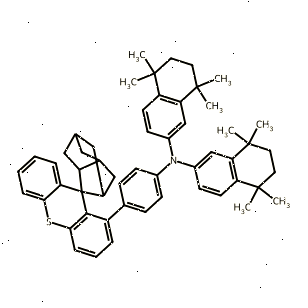 CC1(C)CCC(C)(C)c2cc(N(c3ccc(-c4cccc5c4C4(c6ccccc6S5)C5CC6CC(C5)C4C6)cc3)c3ccc4c(c3)C(C)(C)CCC4(C)C)ccc21